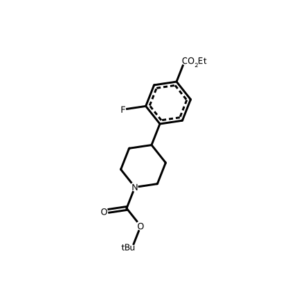 CCOC(=O)c1ccc(C2CCN(C(=O)OC(C)(C)C)CC2)c(F)c1